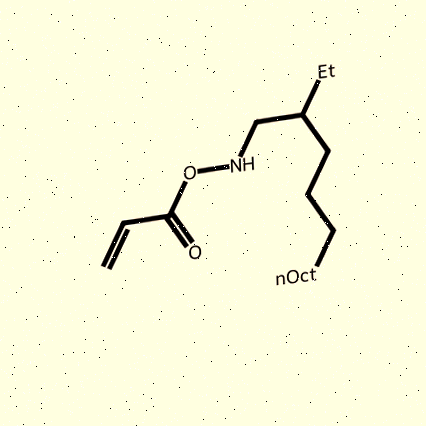 C=CC(=O)ONCC(CC)CCCCCCCCCCC